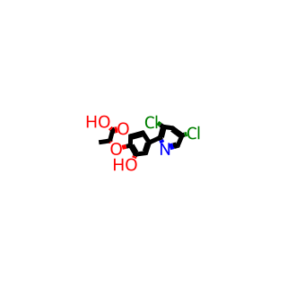 CC(Oc1ccc(-c2ncc(Cl)cc2Cl)cc1O)C(=O)O